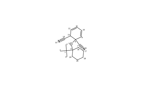 CC(C)(C)C1(OC2(C#N)C=CC=CC2C#N)CCCCC1